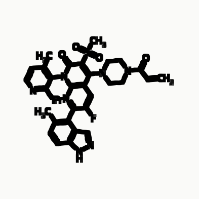 C=CC(=O)N1CCN(c2c(S(C)(=O)=O)c(=O)n(-c3c(C)ccnc3C(C)C)c3nc(-c4c(C)ccc5[nH]ncc45)c(F)cc23)CC1